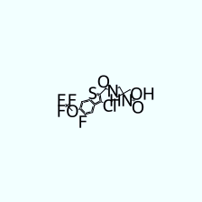 O=CNC1(CO)CN(C(=O)c2sc3cc(OC(F)(F)F)c(F)cc3c2Cl)C1